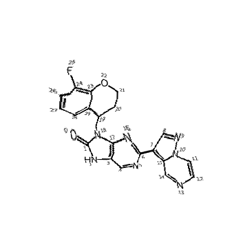 O=c1[nH]c2cnc(-c3cnn4ccncc34)nc2n1C1CCOc2c(F)cccc21